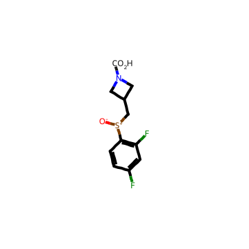 O=C(O)N1CC(C[S+]([O-])c2ccc(F)cc2F)C1